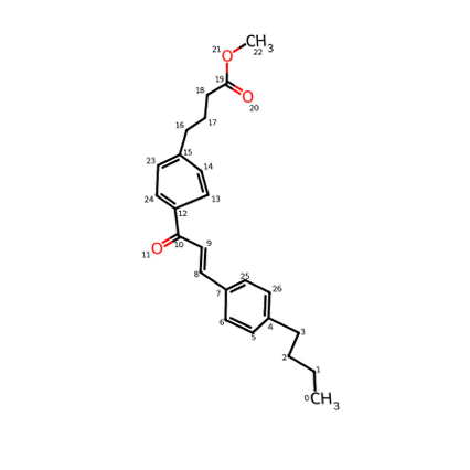 CCCCc1ccc(/C=C/C(=O)c2ccc(CCCC(=O)OC)cc2)cc1